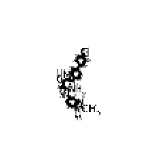 Cc1nc2cc(-n3ncc(C(=O)c4cc5ccc(-c6ccc(Cl)cc6)cc5[nH]4)c3N)ccc2[nH]1